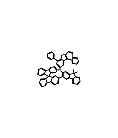 CC1(C)c2ccccc2-c2cc(-c3ccc4c(c3)C3(c5ccccc5-c5ccccc53)c3ccccc3-4)c(Nc3cc(-c4ccccc4)c4oc5ccc6ccccc6c5c4c3)cc21